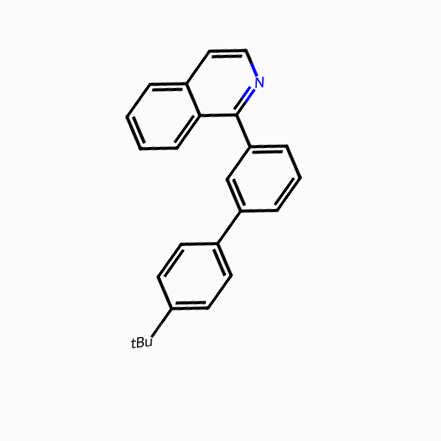 CC(C)(C)c1ccc(-c2cccc(-c3nccc4ccccc34)c2)cc1